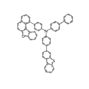 c1ccc(-c2ccc(N(c3ccc(-c4ccc5c(c4)sc4ccccc45)cc3)c3ccc(-c4cccc5ccc6oc7ccccc7c6c45)cc3)cc2)cc1